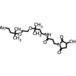 CC(=O)CCC(C)(C)OCCOC(C)(C)CCNC(=O)CCN1C(=O)CC(C)C1=O